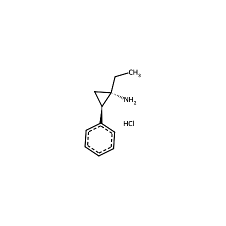 CC[C@]1(N)C[C@@H]1c1ccccc1.Cl